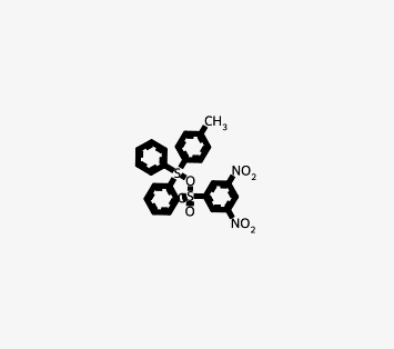 Cc1ccc(S(OS(=O)(=O)c2cc([N+](=O)[O-])cc([N+](=O)[O-])c2)(c2ccccc2)c2ccccc2)cc1